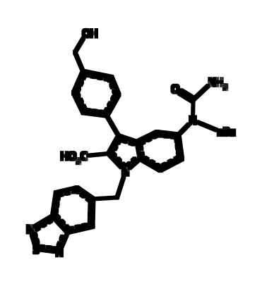 CCCCN(C(N)=O)c1ccc2c(c1)c(-c1ccc(CO)cc1)c(C(=O)O)n2Cc1ccc2nsnc2c1